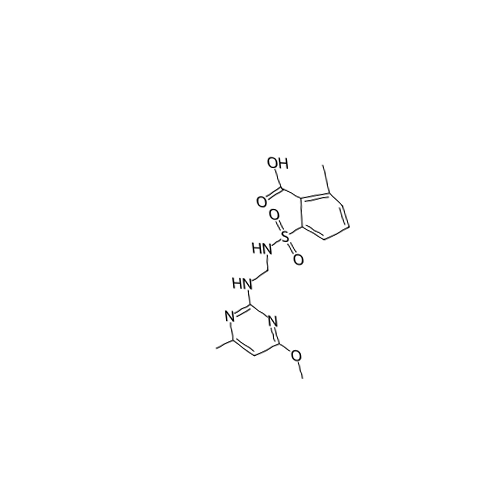 COc1cc(C)nc(NCNS(=O)(=O)c2cccc(C)c2C(=O)O)n1